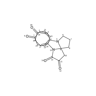 O=C1C=CC(N2CCCC23CC(=O)C(=O)N3C2=CCC(=O)C=C2)=CC1